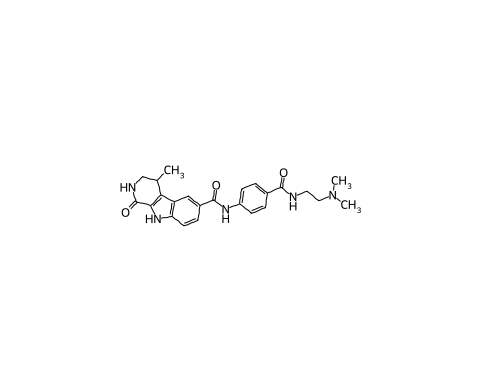 CC1CNC(=O)c2[nH]c3ccc(C(=O)Nc4ccc(C(=O)NCCN(C)C)cc4)cc3c21